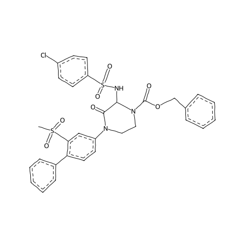 CS(=O)(=O)c1cc(N2CCN(C(=O)OCc3ccccc3)C(NS(=O)(=O)c3ccc(Cl)cc3)C2=O)ccc1-c1ccccc1